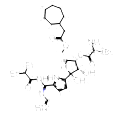 CCC(CC)C(=O)N/C(=N/C=N)c1ccc([C@]2(C)O[C@H](COC(=O)CC3CCCCCC3)[C@@H](OC(=O)[C@@H](N)C(C)(C)C)[C@H]2O)[nH]1